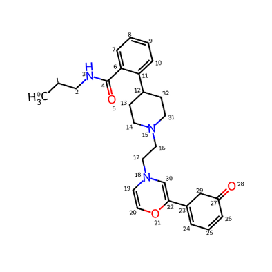 CCCNC(=O)c1ccccc1C1CCN(CCN2C=COC(C3=CC=CC(=O)C3)=C2)CC1